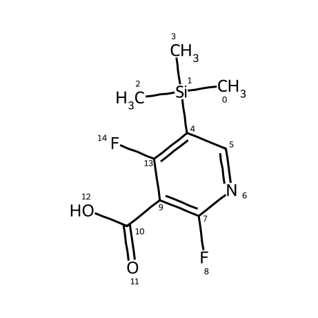 C[Si](C)(C)c1cnc(F)c(C(=O)O)c1F